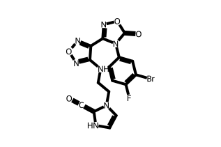 O=C=C1NC=CN1CCNc1nonc1-c1noc(=O)n1-c1ccc(F)c(Br)c1